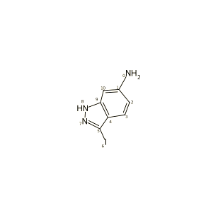 Nc1ccc2c(I)n[nH]c2c1